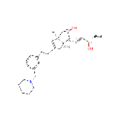 CCCCC[C@H](O)/C=C/[C@@H]1[C@H]2CC(CCc3cccc(CN4CCCCC4)c3)=C[C@H]2C[C@H]1O